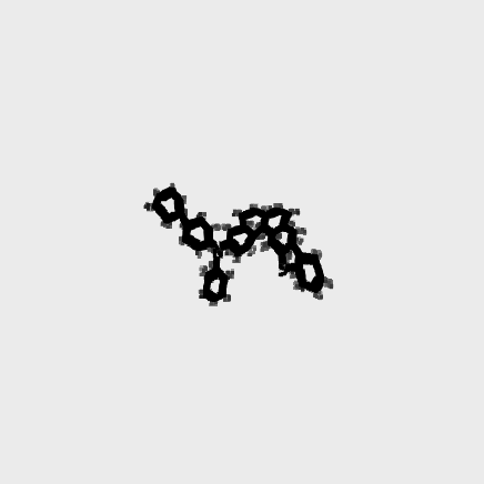 c1ccc(-c2ccc(N(c3ccccc3)c3ccc4c(ccc5ccc6cc7c(cc6c54)sc4ccccc47)c3)cc2)cc1